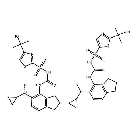 CC(c1ccc2c(c1NC(=O)NS(=O)(=O)c1cnc(C(C)(C)O)s1)CCC2)C1CC1C1Cc2ccc([C@@H](C)C3CC3)c(NC(=O)NS(=O)(=O)c3nc(C(C)(C)O)cs3)c2C1